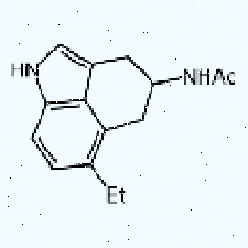 CCc1ccc2[nH]cc3c2c1CC(NC(C)=O)C3